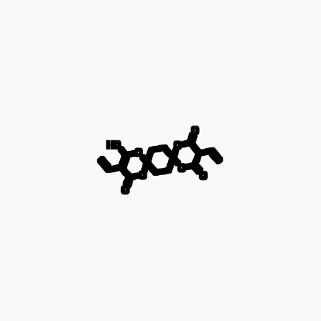 C=CC1=C(O)OC2(CCC3(CC2)OC(=O)C(C=C)C(=O)O3)OC1=O